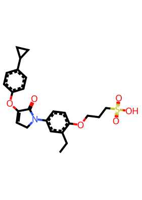 CCc1cc(N2CC=C(Oc3ccc(C4CC4)cc3)C2=O)ccc1OCCCS(=O)(=O)O